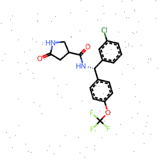 O=C1CC(C(=O)N[C@@H](c2ccc(OC(F)(F)F)cc2)c2cccc(Cl)c2)CN1